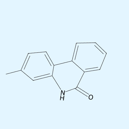 Cc1ccc2c(c1)[nH]c(=O)c1ccccc12